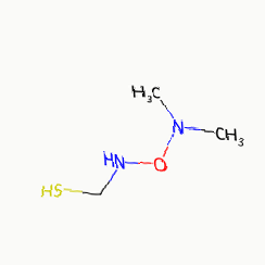 CN(C)ONCS